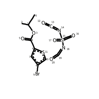 CC(C)OC(=O)c1cc(Br)cs1.O=C=NS(=O)(=O)N=C=O